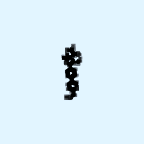 CC1(C)O[C@H](c2ccc(-c3ccc(CO)nc3)cc2)[C@@H](CF)N1C(=O)C(F)F